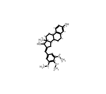 COc1cc(/C=C2\CC3C4CCc5cc(O)ccc5C4CCC3(C)C2O)cc(OC)c1OC